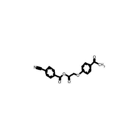 CC(=O)c1ccc(OCC(=O)OC(=O)c2ccc(C#N)cc2)cc1